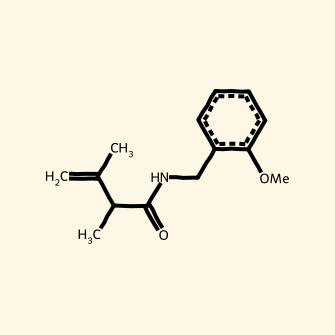 C=C(C)C(C)C(=O)NCc1ccccc1OC